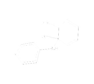 CC(C)(C)C1C=CC=CC1(Br)Nc1ccccc1